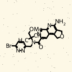 COCC(C)(C)N(Cc1ccc(Br)nn1)C(=O)c1cc2c3c(c(N)nc2cn1)COC3